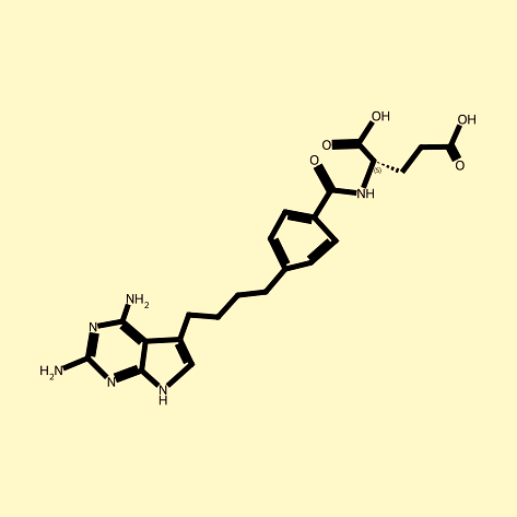 Nc1nc(N)c2c(CCCCc3ccc(C(=O)N[C@@H](CCC(=O)O)C(=O)O)cc3)c[nH]c2n1